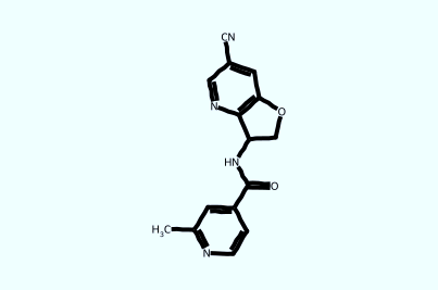 Cc1cc(C(=O)NC2COc3cc(C#N)cnc32)ccn1